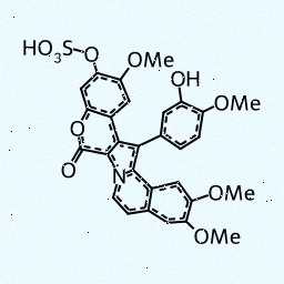 COc1ccc(-c2c3c4cc(OC)c(OS(=O)(=O)O)cc4oc(=O)c3n3ccc4cc(OC)c(OC)cc4c23)cc1O